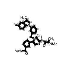 CNC(=O)c1cccc(-c2cnc(NC(=O)[C@H](C)NC)c(=O)n2Cc2cccc(-n3cc(C)c4cc(F)ccc43)c2)c1